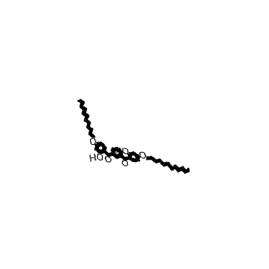 CCCCCCCCCCCCOc1ccc(C(=O)c2cccc(C(=O)c3ccc(OCCCCCCCCCCCC)cc3O)c2)c(O)c1